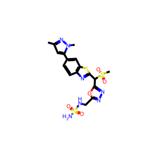 Cc1cc(-c2ccc3nc(C(c4nnc(CNS(N)(=O)=O)o4)S(C)(=O)=O)sc3c2)n(C)n1